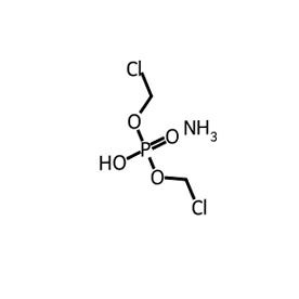 N.O=P(O)(OCCl)OCCl